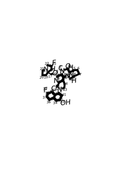 CN1C(=O)C2[C@@H]3CC[C@H](CN2c2c4c(nc(OC[C@@]56CCCN5C[C@H](F)C6)c21)CN(c1cc(O)cc2ccc(F)c(Cl)c12)CC4)N3